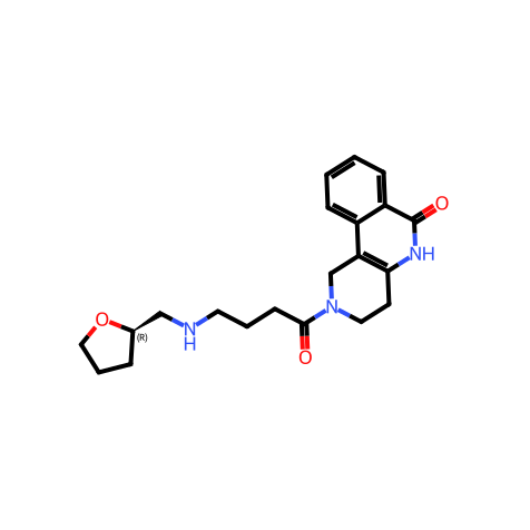 O=C(CCCNC[C@H]1CCCO1)N1CCc2[nH]c(=O)c3ccccc3c2C1